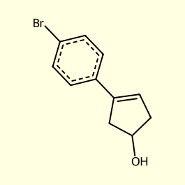 OC1CC=C(c2ccc(Br)cc2)C1